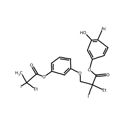 CCC(C)(I)C(=O)Oc1cccc(OCC(I)(CC)C(=O)Oc2ccc(C(C)=O)c(O)c2)c1